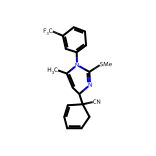 CSC1=NC(C2(C#N)C=CC=CC2)C=C(C)N1c1cccc(C(F)(F)F)c1